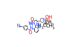 CC(C)(C)C1CC(c2cc(=O)[nH]c3c4c(NC(=O)c5ccc(C#N)cc5)cccc4nn23)CCN1C(=O)O